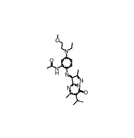 CCN(CCOC)c1ccc(N=C2C(C)=Nn3c2nc(C)c(C(C)C)c3=O)c(NC(C)=O)c1